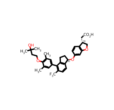 Cc1cc(-c2c(C(F)(F)F)ccc3c2CC[C@H]3Oc2ccc3c(c2)OC[C@H]3CC(=O)O)cc(C)c1OCCC(C)(C)O